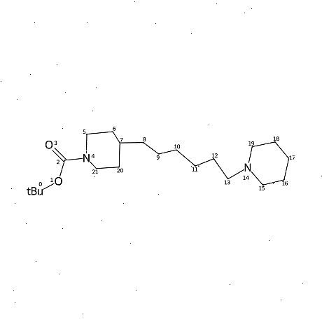 CC(C)(C)OC(=O)N1CCC(CCC[CH]CCN2CCCCC2)CC1